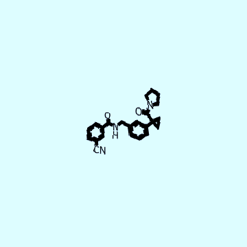 N#Cc1cccc(C(=O)NCc2cccc(C3(C(=O)N4CCCC4)CC3)c2)c1